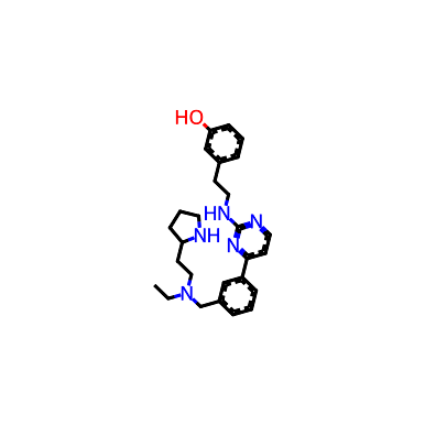 CCN(CCC1CCCN1)Cc1cccc(-c2ccnc(NCCc3cccc(O)c3)n2)c1